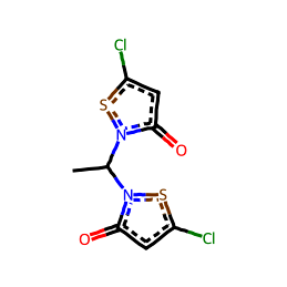 CC(n1sc(Cl)cc1=O)n1sc(Cl)cc1=O